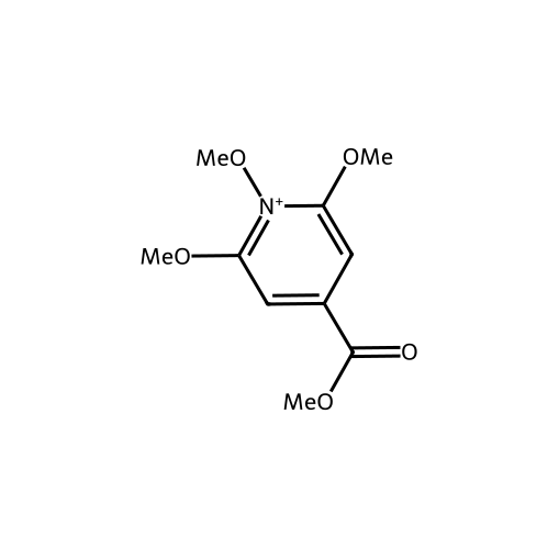 COC(=O)c1cc(OC)[n+](OC)c(OC)c1